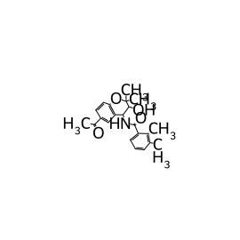 CC(=O)c1ccc2c(c1)C(NC(=O)c1cccc(C)c1C)C(O)C(C)(C)O2